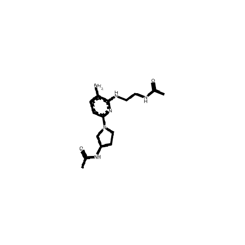 CC(=O)NCCNc1nc(N2CCC(NC(C)=O)C2)ccc1N